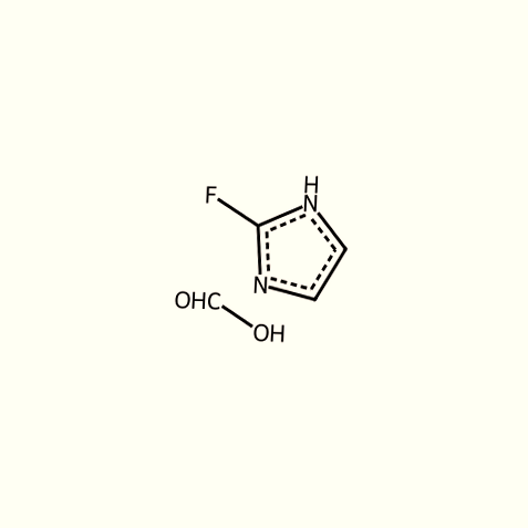 Fc1ncc[nH]1.O=CO